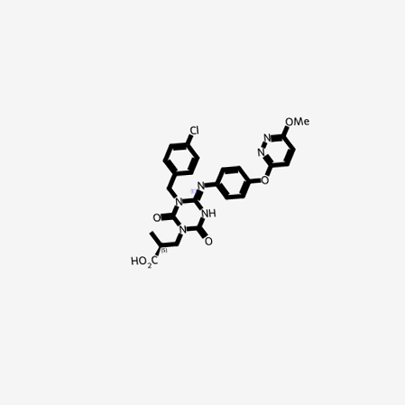 COc1ccc(Oc2ccc(/N=c3\[nH]c(=O)n(C[C@H](C)C(=O)O)c(=O)n3Cc3ccc(Cl)cc3)cc2)nn1